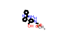 CS(=O)(=O)CCNc1cc(CO)cc(Nc2c3ccccc3nc3ccccc23)c1